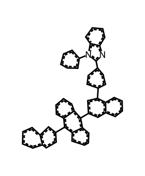 c1ccc(-n2c(-c3ccc(-c4cc(-c5c6ccccc6c(-c6ccc7ccccc7c6)c6ccccc56)cc5ccccc45)cc3)nc3ccccc32)cc1